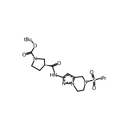 CC(C)S(=O)(=O)N1CCn2nc(NC(=O)[C@H]3CCN(C(=O)OC(C)(C)C)C3)cc2C1